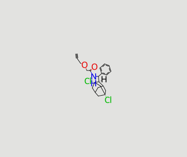 C#CCOCC(=O)N[C@@H](c1ccccc1)[C@H]1C2CC3C[C@](Cl)(C2)C[C@@]1(Cl)C3